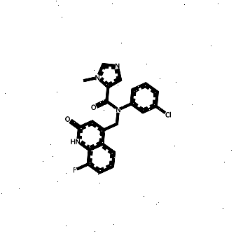 Cn1cncc1C(=O)N(Cc1cc(=O)[nH]c2c(F)cccc12)c1cccc(Cl)c1